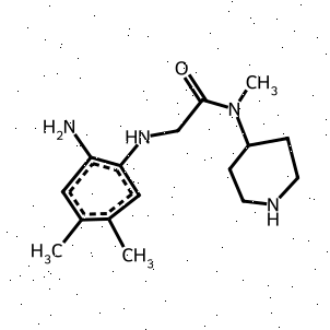 Cc1cc(N)c(NCC(=O)N(C)C2CCNCC2)cc1C